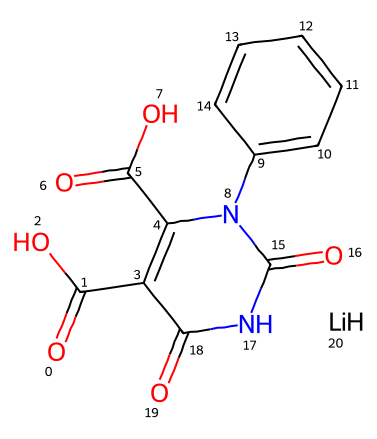 O=C(O)c1c(C(=O)O)n(-c2ccccc2)c(=O)[nH]c1=O.[LiH]